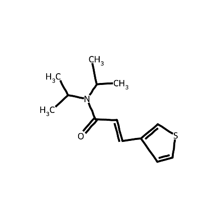 CC(C)N(C(=O)C=Cc1ccsc1)C(C)C